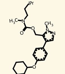 CC(C)CCN(C)C(=O)OCc1c(-c2ccc(OC3CCCCC3)cc2)cnn1C